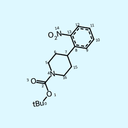 CC(C)(C)OC(=O)N1CCC(c2ccccc2[N+](=O)[O-])CC1